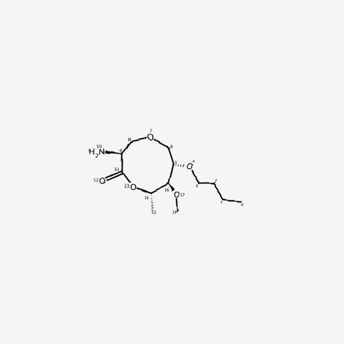 CCCCO[C@H]1COC[C@H](N)C(=O)O[C@@H](C)[C@@H]1OC